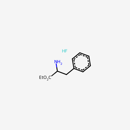 CCOC(=O)C(N)Cc1ccccc1.F